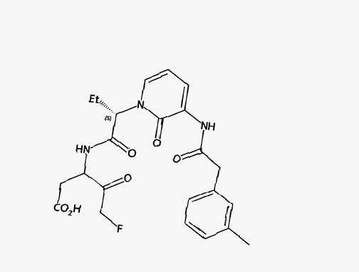 CC[C@@H](C(=O)NC(CC(=O)O)C(=O)CF)n1cccc(NC(=O)Cc2cccc(C)c2)c1=O